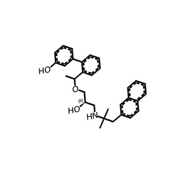 CC(OC[C@H](O)CNC(C)(C)Cc1ccc2ccccc2c1)c1ccccc1-c1cccc(O)c1